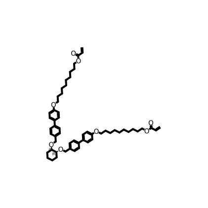 C=CC(=O)OCCCCCCCCCCOc1ccc(-c2ccc(CO[C@@H]3CCCC[C@H]3OCc3ccc(-c4ccc(OCCCCCCCCCCOC(=O)C=C)cc4)cc3)cc2)cc1